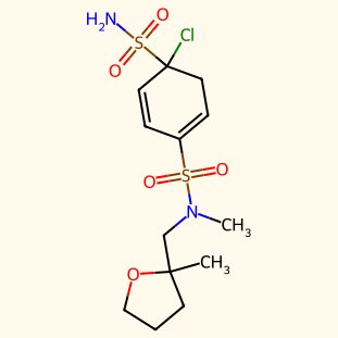 CN(CC1(C)CCCO1)S(=O)(=O)C1=CCC(Cl)(S(N)(=O)=O)C=C1